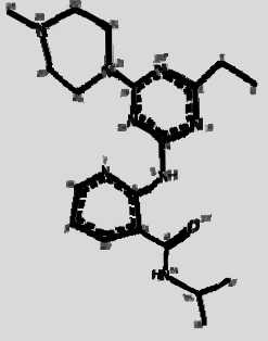 CCc1nc(Nc2ncccc2C(=O)NC(C)C)nc(N2CCN(C)CC2)n1